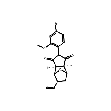 C=C[C@@H]1CC2OC1[C@H]1C(=O)C(c3ccc(Br)cc3OC)C(=O)[C@@H]21